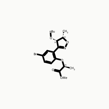 CCCCO[C@H]1C(c2cc(Br)ccc2O[C@@H](C)C(=O)OC)=NO[C@H]1C